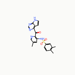 Cc1cnc(C(=O)c2ncnc3[nH]ccc23)c(NS(=O)(=O)c2ccc(C)c(C)c2)c1